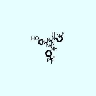 OC1CCN(c2nc(Nc3cccc(C(F)(F)F)c3)nc(Nc3cccc(F)n3)n2)C1